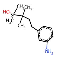 CC(C)(CCc1cccc(N)c1)[Si](C)(C)O